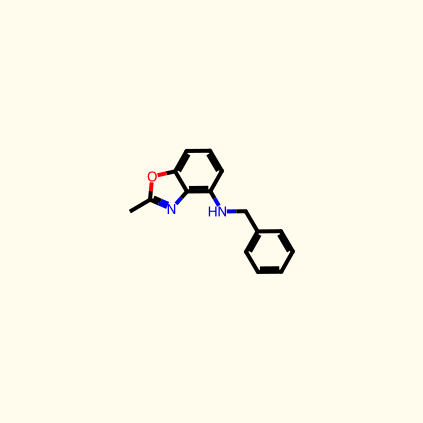 Cc1nc2c(NCc3ccccc3)cccc2o1